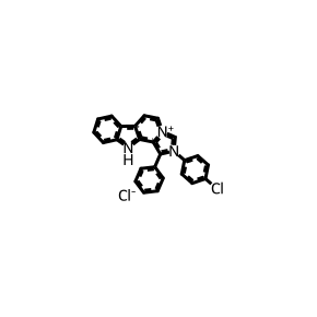 Clc1ccc(-n2c[n+]3ccc4c5ccccc5[nH]c4c3c2-c2ccccc2)cc1.[Cl-]